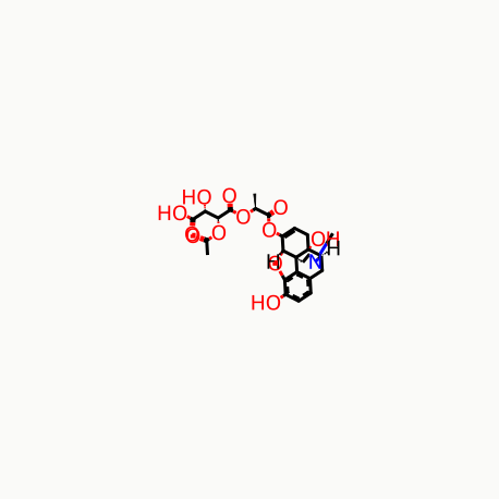 CC(=O)O[C@@H](C(=O)O[C@@H](C)C(=O)OC1=CC[C@@]2(O)[C@H]3Cc4ccc(O)c5c4[C@@]2(CCN3C)[C@H]1O5)[C@@H](O)C(=O)O